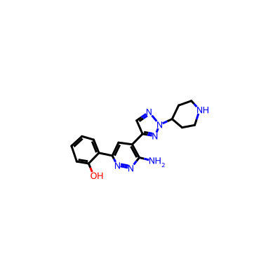 Nc1nnc(-c2ccccc2O)cc1-c1cnn(C2CCNCC2)n1